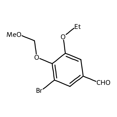 CCOc1cc(C=O)cc(Br)c1OCOC